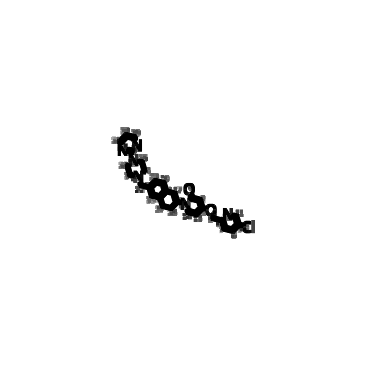 O=c1cc(OCc2ccc(Cl)cn2)ccn1C1=Cc2ccc(CN3CCN(c4ncccn4)CC3)cc2CC1